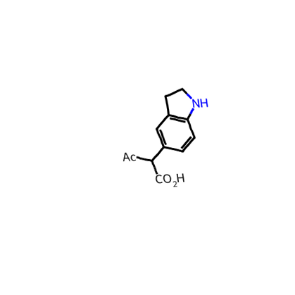 CC(=O)C(C(=O)O)c1ccc2c(c1)CCN2